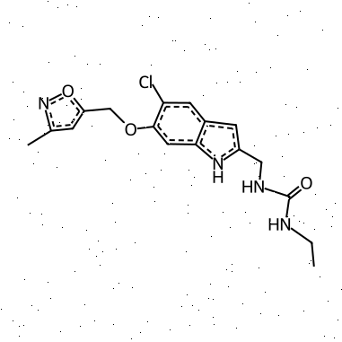 CCNC(=O)NCc1cc2cc(Cl)c(OCc3cc(C)no3)cc2[nH]1